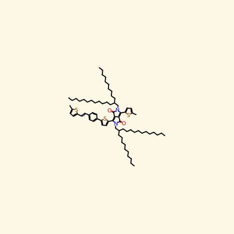 CCCCCCCCCCCCC(CCCCCCCCCC)CN1C(=O)C2=C(c3ccc(-c4ccc(/C=C/c5ccc(C)s5)cc4)s3)N(CC(CCCCCCCCCC)CCCCCCCCCCCC)C(=O)C2=C1c1ccc(C)s1